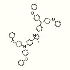 Cc1c(C)c(-c2ccc(N(c3ccc(Oc4ccccc4)cc3)c3ccc(Oc4ccccc4)cc3)cc2)n(C)c1-c1ccc(N(c2ccc(Oc3ccccc3)cc2)c2ccc(Oc3ccccc3)cc2)cc1